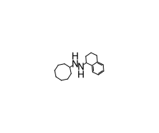 c1ccc2c(c1)CCCC2NNC1CCCCCCC1